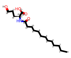 CCCCCCCCCCCCC(=O)N[C@@H](CCC=O)C(=O)O